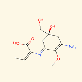 C/C=C(/N=C1\C[C@](O)(CO)CC(N)=C1OC)C(=O)O